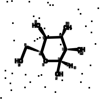 [2H][C@]1(O)O[C@H](CO)[C@@H](O)[C@H](O)[C@@H]1O